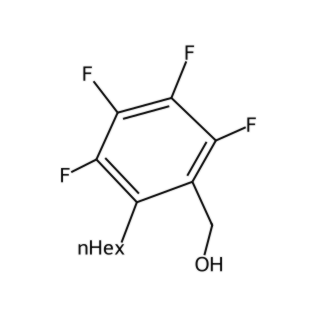 CCCCCCc1c(F)c(F)c(F)c(F)c1CO